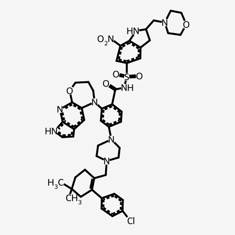 CC1(C)CCC(CN2CCN(c3ccc(C(=O)NS(=O)(=O)c4cc5c(c([N+](=O)[O-])c4)NC(CN4CCOCC4)C5)c(N4CCCOc5nc6[nH]ccc6cc54)c3)CC2)=C(c2ccc(Cl)cc2)C1